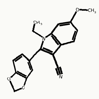 CCn1c(-c2ccc3c(c2)OCO3)c(C#N)c2ccc(OC)cc21